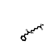 COC(=O)CCCCCNC(=O)CCc1ccccc1